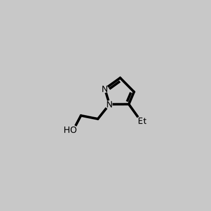 CCc1ccnn1CCO